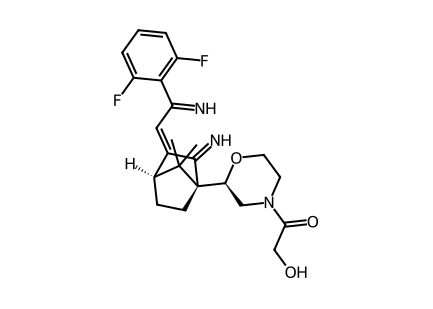 CC1(C)[C@H]2CC[C@]1([C@@H]1CN(C(=O)CO)CCO1)C(=N)/C2=C\C(=N)c1c(F)cccc1F